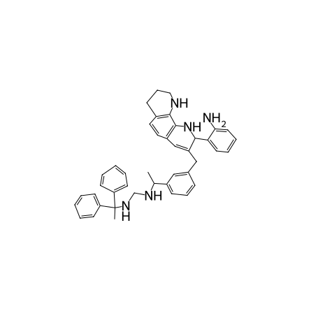 CC(NCNC(C)(c1ccccc1)c1ccccc1)c1cccc(CC2=Cc3ccc4c(c3NC2c2ccccc2N)NCCC4)c1